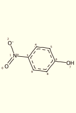 O=[N+]([O-])c1[c]cc(O)cc1